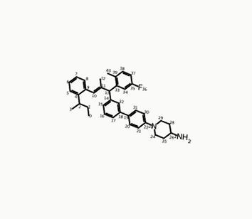 CCC(C)c1ccccc1/C=C(\C)C(c1cccc(-c2ccc(N3CCC(N)CC3)cc2)c1)c1cc(F)ccc1C